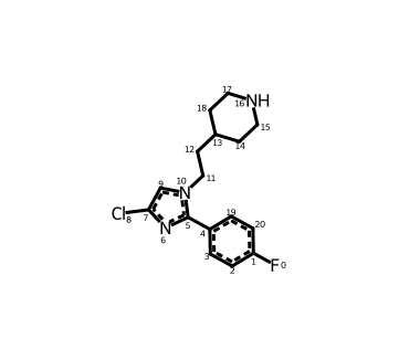 Fc1ccc(-c2nc(Cl)cn2CCC2CCNCC2)cc1